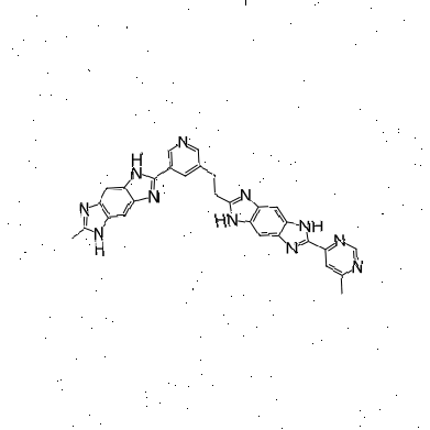 Cc1cc(-c2nc3cc4[nH]c(CCc5cncc(-c6nc7cc8[nH]c(C)nc8cc7[nH]6)c5)nc4cc3[nH]2)ncn1